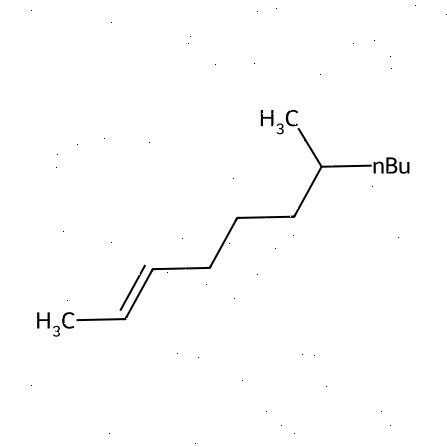 CC=CCCCC(C)CCCC